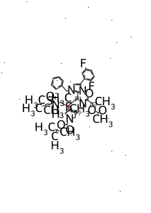 CC(=O)O[C@@H](C)C(=O)N(C[C@@H]1CN(C(=O)OC(C)(C)C)C[C@@H]1F)[C@@H](c1nc(-c2cc(F)ccc2F)cn1Cc1ccccc1)C(C)(C)CCN[S+]([O-])C(C)(C)C